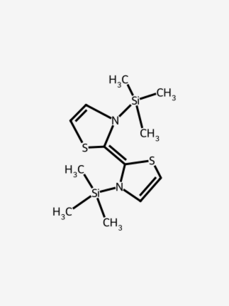 C[Si](C)(C)N1C=CS/C1=C1/SC=CN1[Si](C)(C)C